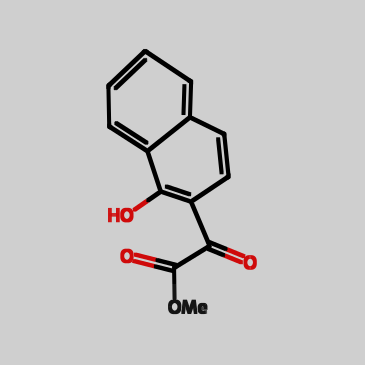 COC(=O)C(=O)c1ccc2ccccc2c1O